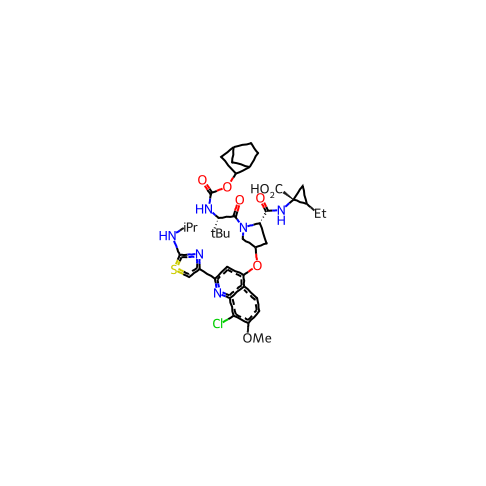 CCC1C[C@]1(NC(=O)[C@@H]1CC(Oc2cc(-c3csc(NC(C)C)n3)nc3c(Cl)c(OC)ccc23)CN1C(=O)[C@@H](NC(=O)OC1CC2CCC1C2)C(C)(C)C)C(=O)O